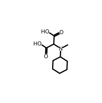 CN(C1CCCCC1)C(C(=O)O)C(=O)O